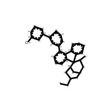 CCC1CC2CC(C)C3(c4ccccc4-c4c(-c5cccc(-c6cccc(Cl)c6)c5)cccc43)C(C1)C2